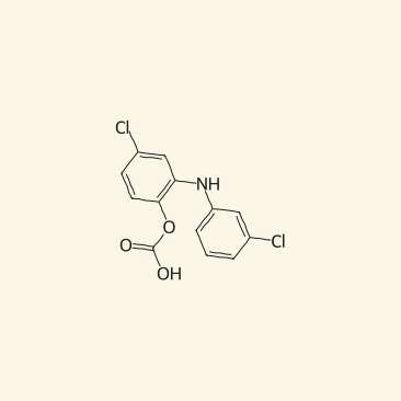 O=C(O)Oc1ccc(Cl)cc1Nc1cccc(Cl)c1